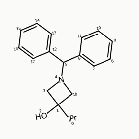 CC(C)C1(O)CN(C(c2ccccc2)c2ccccc2)C1